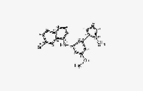 COc1cc(Nc2ccnc3ccc(Br)cc23)cc(-c2cncn2C)c1